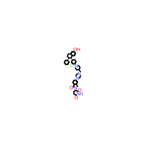 O=C1CCC(N2Cc3cc(N4CCN(CC5CCN(C6=CCC([C@@H]7c8ccc(O)cc8CC[C@@H]7c7ccccc7)C=C6F)CC5)CC4)ccc3C2=O)C(=O)N1